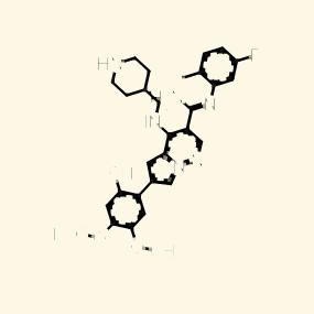 COc1cc(C)c(-c2cc3c(NCC4CCNCC4)c(/C(N)=N/c4cc(F)ccc4Cl)cnn3c2)cc1OC